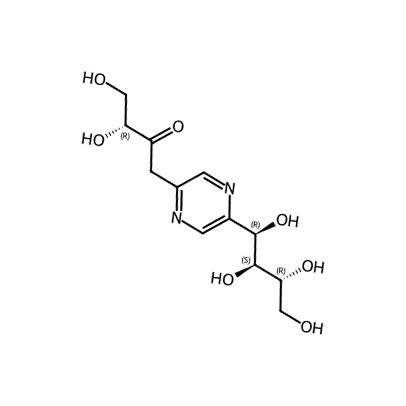 O=C(Cc1cnc([C@@H](O)[C@H](O)[C@H](O)CO)cn1)[C@H](O)CO